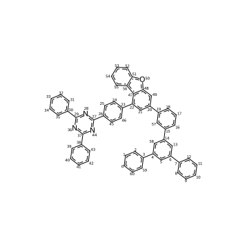 c1ccc(-c2cc(-c3ccccc3)cc(-c3cccc(-c4cc(-c5ccc(-c6nc(-c7ccccc7)nc(-c7ccccc7)n6)cc5)c5c(c4)oc4ccccc45)c3)c2)cc1